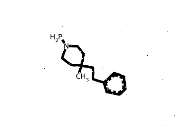 CC1(CCc2ccccc2)CCN(P)CC1